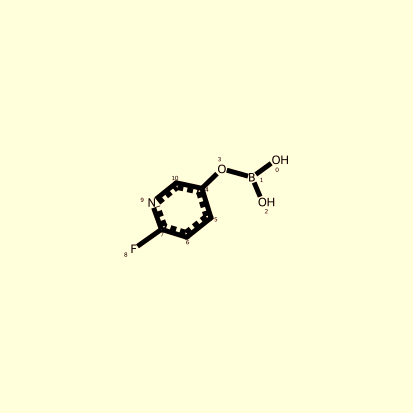 OB(O)Oc1ccc(F)nc1